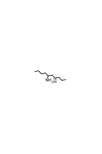 [CH2]CCNCC(N)CCCC